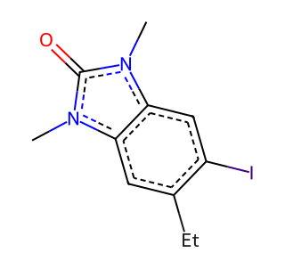 CCc1cc2c(cc1I)n(C)c(=O)n2C